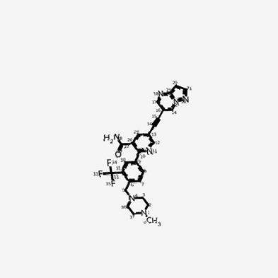 CN1CCN(Cc2ccc(-c3ncc(C#Cc4cnc5ccnn5c4)cc3C(N)=O)cc2C(F)(F)F)CC1